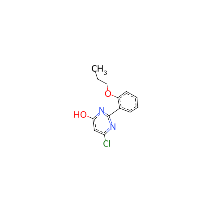 CCCOc1ccccc1-c1nc(O)cc(Cl)n1